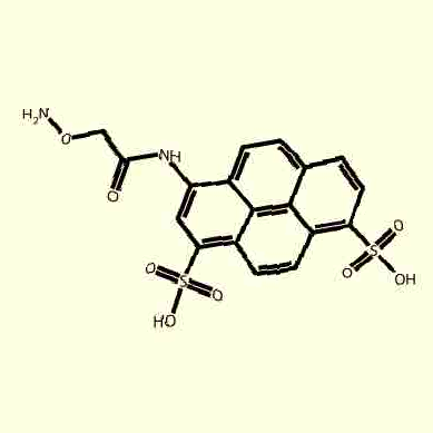 NOCC(=O)Nc1cc(S(=O)(=O)O)c2ccc3c(S(=O)(=O)O)ccc4ccc1c2c43